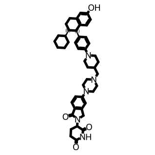 O=C1CCC(N2Cc3cc(N4CCN(CC5CCN(c6ccc([C@@H]7c8ccc(O)cc8CC[C@@H]7C7CCCCC7)cc6)CC5)CC4)ccc3C2=O)C(=O)N1